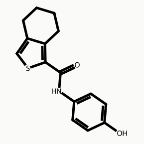 O=C(Nc1ccc(O)cc1)c1scc2c1CCCC2